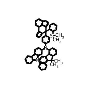 CC1(C)c2ccccc2-c2c(N(c3ccc4c(c3)[Si](C)(C)c3ccccc3C43c4ccccc4-c4cccc5cccc3c45)c3ccc4c5ccccc5n(-c5ccccc5)c4c3)cccc21